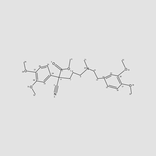 COC(=O)C(C#N)(CCCN(C)CCc1ccc(OC)c(OC)c1)c1ccc(OC)c(OC)c1